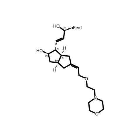 CCCCC[C@H](O)C=C[C@@H]1[C@H]2CC(=CCOCCN3CCOCC3)C[C@H]2C[C@H]1O